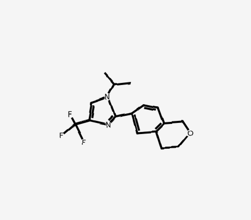 CC(C)n1cc(C(F)(F)F)nc1-c1ccc2c(c1)CCOC2